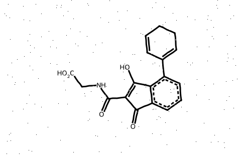 O=C(O)CNC(=O)C1=C(O)c2c(cccc2C2=CCCC=C2)C1=O